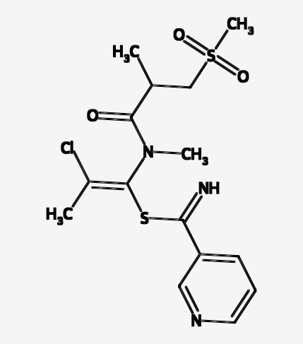 C/C(Cl)=C(\SC(=N)c1cccnc1)N(C)C(=O)C(C)CS(C)(=O)=O